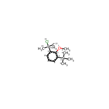 COc1c([Si](C)(C)C)cccc1[Si](C)(C)Cl